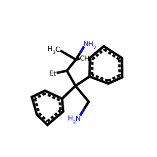 CCC(C(C)(C)N)C(CN)(c1ccccc1)c1ccccc1